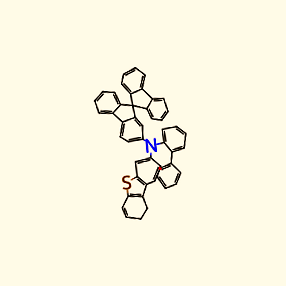 C1=Cc2sc3cc(N(c4ccc5c(c4)C4(c6ccccc6-c6ccccc64)c4ccccc4-5)c4ccccc4-c4ccccc4)ccc3c2CC1